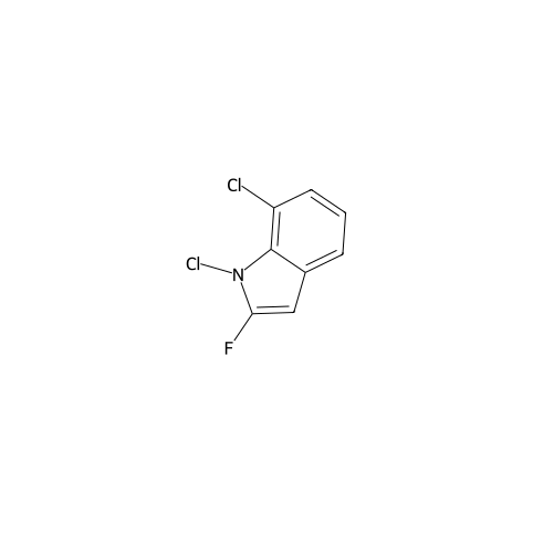 Fc1cc2cccc(Cl)c2n1Cl